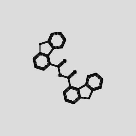 O=C(OC(=O)c1cccc2c1-c1ccccc1C2)c1cccc2c1-c1ccccc1C2